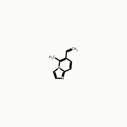 C=Cc1ccc2nccn2c1C